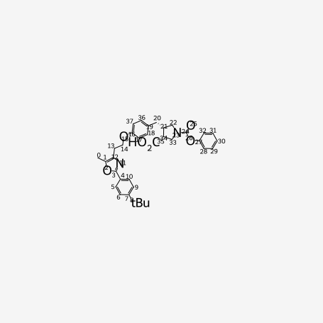 Cc1oc(-c2ccc(C(C)(C)C)cc2)nc1CCOc1ccc(C[C@@H]2CN(C(=O)Oc3ccccc3)C[C@@H]2C(=O)O)cc1